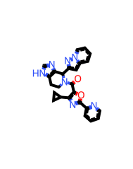 O=C(c1oc(-c2ccccn2)nc1C1CC1)N1CCc2[nH]cnc2C1c1cc2ccccn2n1